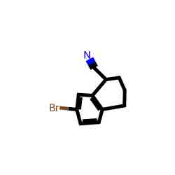 N#CC1CCCc2ccc(Br)cc21